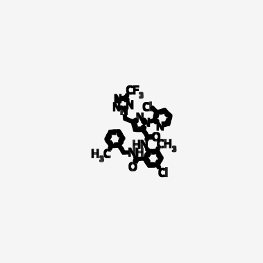 Cc1ccccc1CNC(=O)c1cc(Cl)cc(C)c1NC(=O)c1cc(Cn2nnc(C(F)(F)F)n2)nn1-c1ncccc1Cl